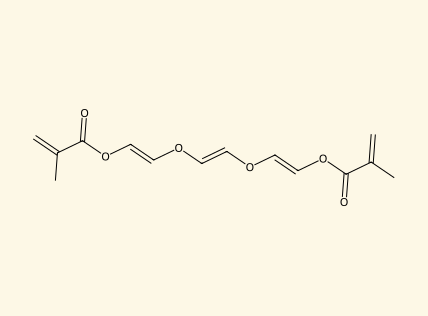 C=C(C)C(=O)OC=COC=COC=COC(=O)C(=C)C